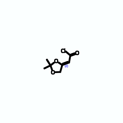 CC1(C)OC/C(=C/C(=O)Cl)O1